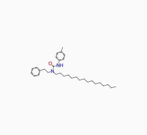 CCCCCCCCCCCCCCCCN(CCc1ccccc1)C(=O)Nc1ccc(C)cc1